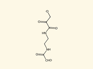 [O]CC(=O)C(=O)NCCNC(=O)[C]=O